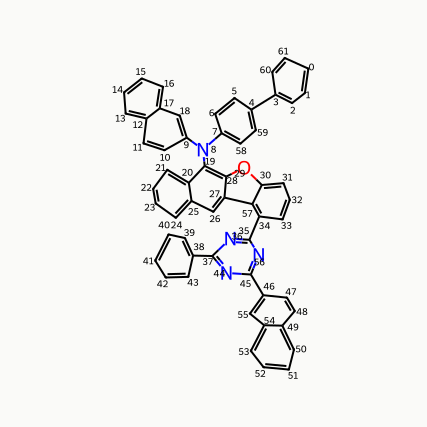 c1ccc(-c2ccc(N(c3ccc4ccccc4c3)c3c4ccccc4cc4c3oc3cccc(-c5nc(-c6ccccc6)nc(-c6ccc7ccccc7c6)n5)c34)cc2)cc1